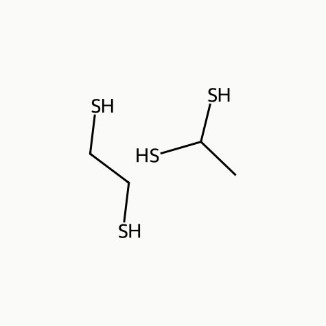 CC(S)S.SCCS